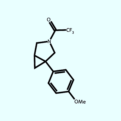 COc1ccc(C23CC2CN(C(=O)C(F)(F)F)C3)cc1